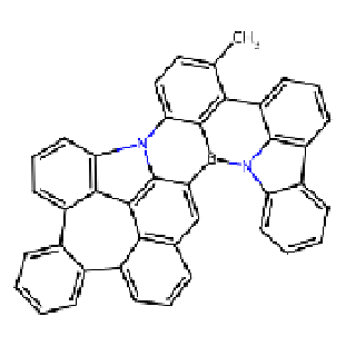 Cc1ccc2c3c1-c1cccc4c5ccccc5n(c14)B3c1cc3cccc4c3c3c5c(cccc5n-2c13)-c1ccccc1-4